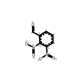 O=[C]c1cccc([N+](=O)[O-])c1[N+](=O)[O-]